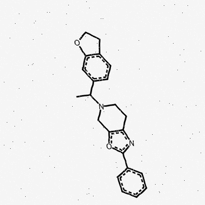 CC(c1ccc2c(c1)OCC2)N1CCc2nc(-c3ccccc3)oc2C1